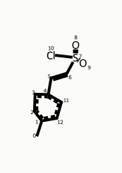 Cc1ccc(/C=C/S(=O)(=O)Cl)cc1